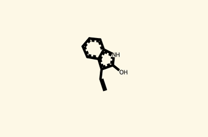 C=Cc1c(O)[nH]c2ccccc12